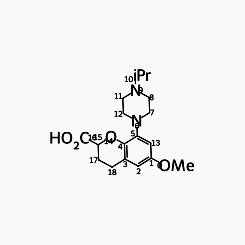 COc1cc2c(c(N3CCN(C(C)C)CC3)c1)OC(C(=O)O)CC2